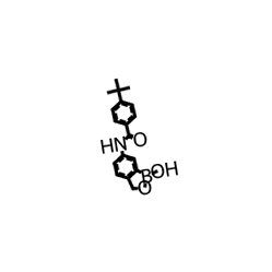 CC(C)(C)c1ccc(C(=O)Nc2ccc3c(c2)B(O)OC3)cc1